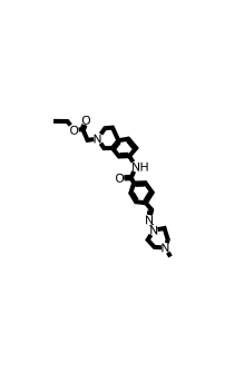 CCOC(=O)CN1CCc2ccc(NC(=O)c3ccc(C=NN4CCN(C)CC4)cc3)cc2C1